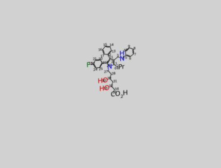 CC(C)c1c(CNc2ccccc2)c(-c2ccccc2)c(-c2ccc(F)cc2)n1CC[C@@H](O)C[C@@H](O)CC(=O)O